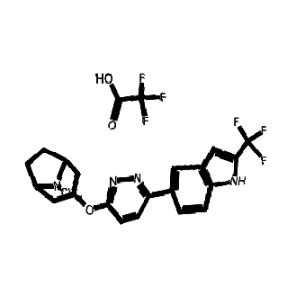 CN1C2CCC1CC(Oc1ccc(-c3ccc4[nH]c(C(F)(F)F)cc4c3)nn1)C2.O=C(O)C(F)(F)F